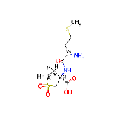 CSCC[C@H](N)C(=O)N[C@@]1(C(=O)O)CS(=O)(=O)[C@H]2C[C@H]21